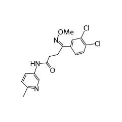 CON=C(CCC(=O)Nc1ccc(C)nc1)c1ccc(Cl)c(Cl)c1